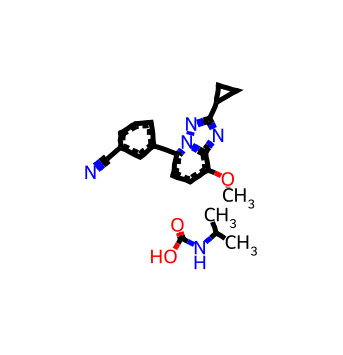 CC(C)NC(=O)O.COc1ccc(-c2cccc(C#N)c2)n2nc(C3CC3)nc12